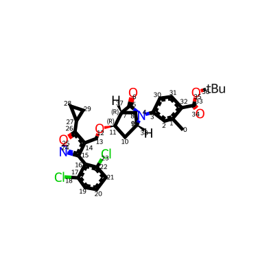 Cc1cc(N2C(=O)[C@@H]3C[C@H]2C[C@H]3OCc2c(-c3c(Cl)cccc3Cl)noc2C2CC2)ccc1C(=O)OC(C)(C)C